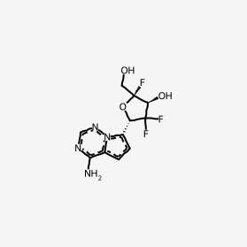 Nc1ncnn2c([C@@H]3O[C@](F)(CO)[C@@H](O)C3(F)F)ccc12